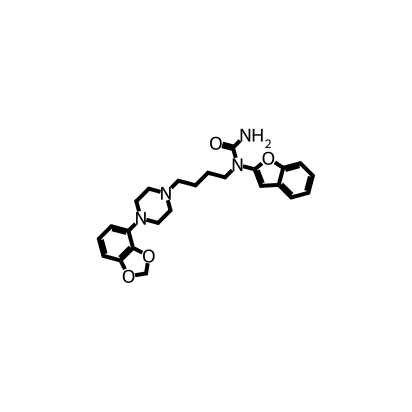 NC(=O)N(CCCCN1CCN(c2cccc3c2OCO3)CC1)c1cc2ccccc2o1